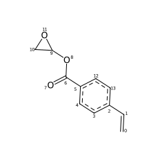 C=Cc1ccc(C(=O)OC2CO2)cc1